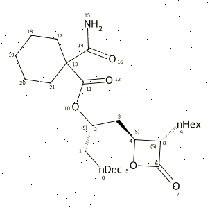 CCCCCCCCCCC[C@@H](C[C@@H]1OC(=O)[C@H]1CCCCCC)OC(=O)C1(C(N)=O)CCCCC1